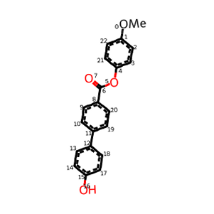 COc1ccc(OC(=O)c2ccc(-c3ccc(O)cc3)cc2)cc1